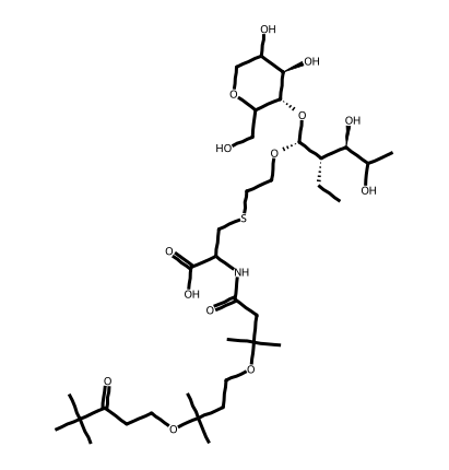 CC[C@H]([C@H](OCCSCC(NC(=O)CC(C)(C)OCCC(C)(C)OCCC(=O)C(C)(C)C)C(=O)O)O[C@@H]1C(CO)OCC(O)[C@H]1O)[C@@H](O)C(C)O